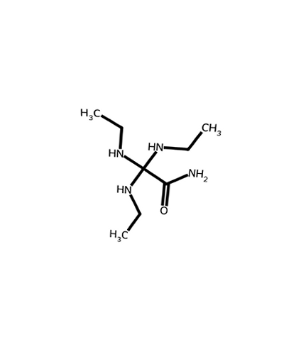 CCNC(NCC)(NCC)C(N)=O